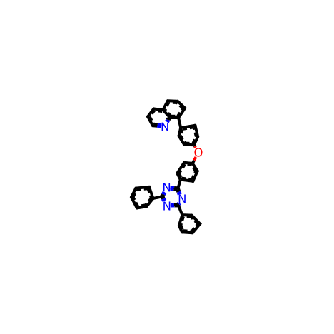 c1ccc(-c2nc(-c3ccccc3)nc(-c3ccc(Oc4ccc(-c5cccc6cccnc56)cc4)cc3)n2)cc1